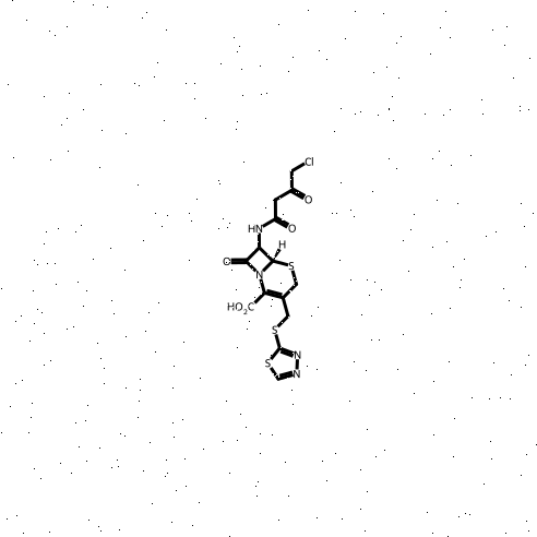 O=C(CCl)CC(=O)NC1C(=O)N2C(C(=O)O)=C(CSc3nncs3)CS[C@@H]12